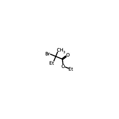 CCOC(=O)C(C)(Br)CC